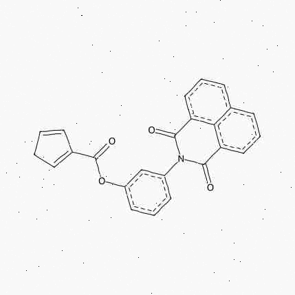 O=C(Oc1cccc(N2C(=O)c3cccc4cccc(c34)C2=O)c1)C1=CCC=C1